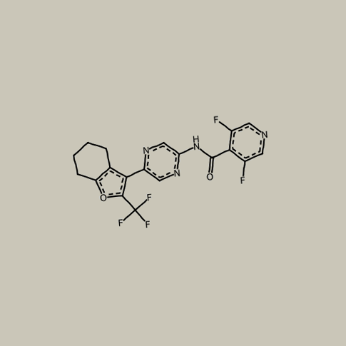 O=C(Nc1cnc(-c2c(C(F)(F)F)oc3c2CCCC3)cn1)c1c(F)cncc1F